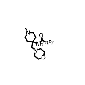 CCCC(=O)NC1(CN2CCOCC2)CCN(C)CC1